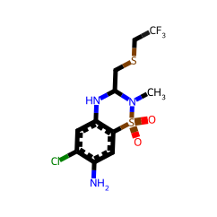 CN1C(CSCC(F)(F)F)Nc2cc(Cl)c(N)cc2S1(=O)=O